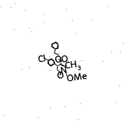 COCCN1C(=O)CC(c2ccc(Cl)cc2)C(C(=O)OCCc2ccccc2)=C1C